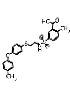 Cc1ccc(Oc2ccc(SCCNS(=O)(=O)c3ccc(C)c(C(=O)O)c3)cc2)cc1